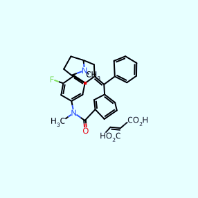 CN(C(=O)c1cccc(C(=C2CC3CCC(C2)N3C)c2ccccc2)c1)c1cccc(F)c1.O=C(O)C=CC(=O)O